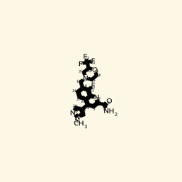 Cn1cc(-c2cc(C(N)=O)nc3c(F)c(CN4CCOC(C(F)(F)F)C4)ccc23)cn1